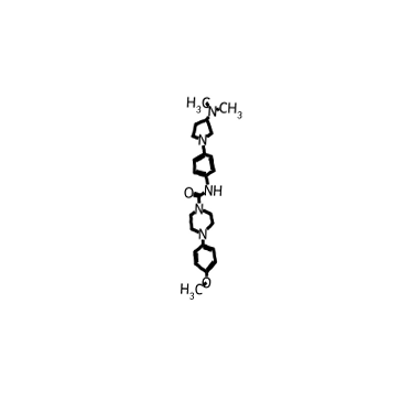 COc1ccc(N2CCN(C(=O)Nc3ccc(N4CCC(N(C)C)C4)cc3)CC2)cc1